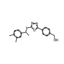 Cc1ccc(C(C)Sc2nnc(-c3ccc(CO)cc3)o2)cc1C